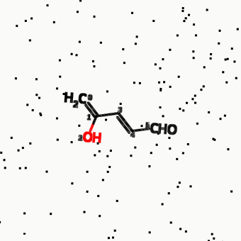 C=C(O)C=CC=O